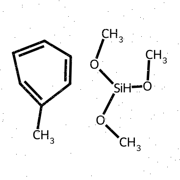 CO[SiH](OC)OC.Cc1ccccc1